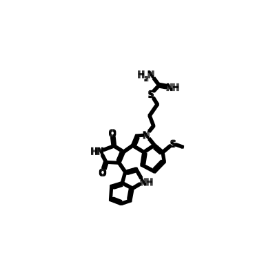 CSc1cccc2c(C3=C(c4c[nH]c5ccccc45)C(=O)NC3=O)cn(CCCSC(=N)N)c12